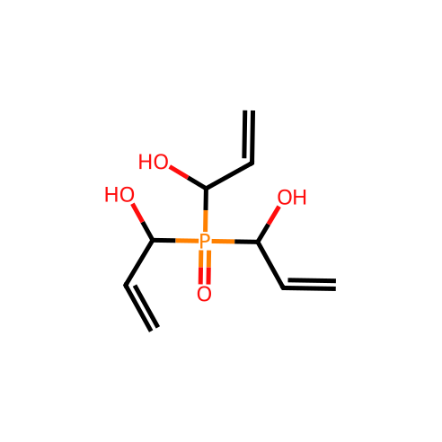 C=CC(O)P(=O)(C(O)C=C)C(O)C=C